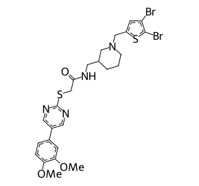 COc1ccc(-c2cnc(SCC(=O)NCC3CCCN(Cc4cc(Br)c(Br)s4)C3)nc2)cc1OC